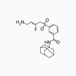 NC/C=C(\F)CS(=O)(=O)c1cccc(C(=O)NC23CC4CC(CC(C4)C2)C3)c1